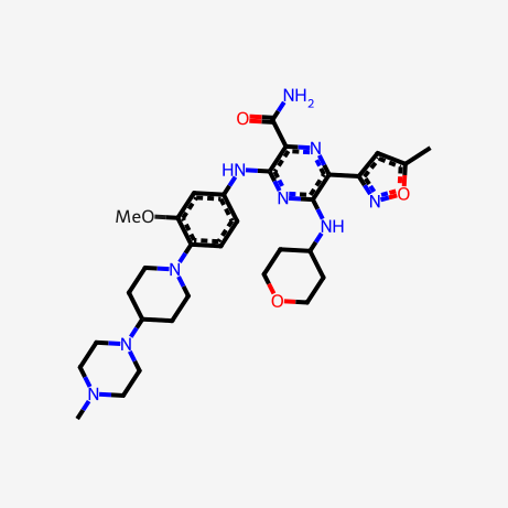 COc1cc(Nc2nc(NC3CCOCC3)c(-c3cc(C)on3)nc2C(N)=O)ccc1N1CCC(N2CCN(C)CC2)CC1